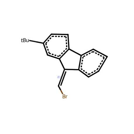 CC(C)(C)c1ccc2c(c1)/C(=C/Br)c1ccccc1-2